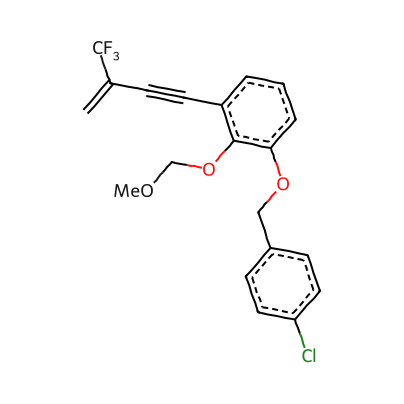 C=C(C#Cc1cccc(OCc2ccc(Cl)cc2)c1OCOC)C(F)(F)F